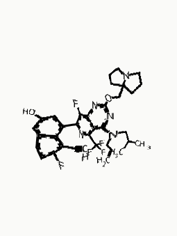 C#Cc1c(F)ccc2cc(O)cc(-c3nc(C(F)(F)F)c4c(N(CC=C)CC(C)C)nc(OCC56CCCN5CCC6)nc4c3F)c12